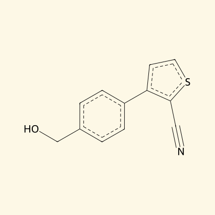 N#Cc1sccc1-c1ccc(CO)cc1